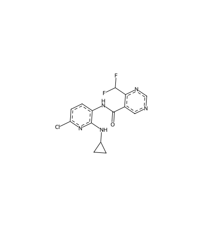 O=C(Nc1ccc(Cl)nc1NC1CC1)c1cncnc1C(F)F